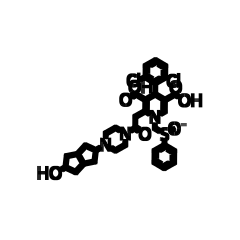 O=C(O)C1=CN(C[S+]([O-])c2ccccc2)C(CC(=O)N2CCN(C3CC4CC(O)CC4C3)CC2)=C(C(=O)O)C1c1c(Cl)cccc1Cl